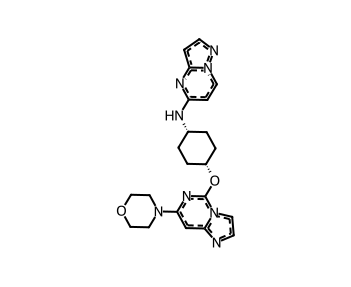 c1cn2c(O[C@H]3CC[C@@H](Nc4ccn5nccc5n4)CC3)nc(N3CCOCC3)cc2n1